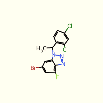 CC(c1ccc(Cl)cc1Cl)n1nnc2c(F)cc(Br)cc21